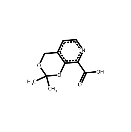 CC1(C)OCc2ccnc(C(=O)O)c2O1